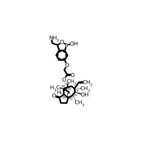 C=C[C@]1(C)C[C@@H](OC(=O)COc2ccc3c(c2)B(O)OC3CN)[C@]2(C)[C@H](C)CC[C@]3(CCC(=O)[C@H]32)[C@@H](C)[C@@H]1O